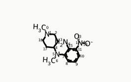 CN1CCC(N(C)c2cccc([N+](=O)[O-])c2N)CC1